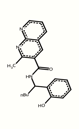 CCCCC(NC(=O)c1cc2cccnc2nc1C)c1ccccc1O